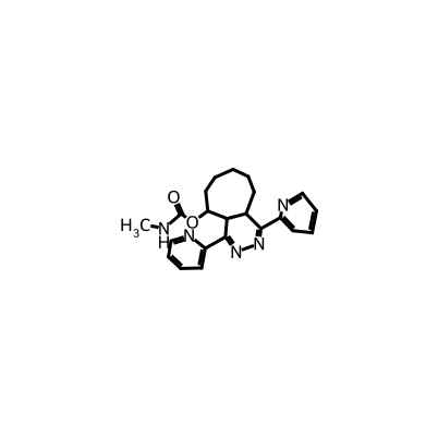 CNC(=O)OC1CCCCCC2C(c3ccccn3)=NN=C(c3ccccn3)C12